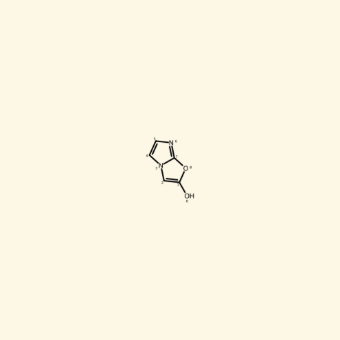 Oc1cn2ccnc2o1